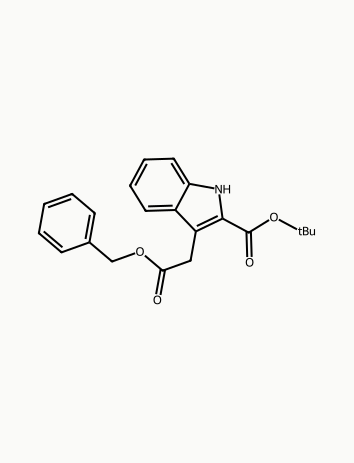 CC(C)(C)OC(=O)c1[nH]c2ccccc2c1CC(=O)OCc1ccccc1